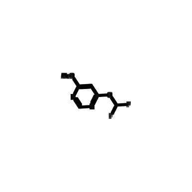 COc1cc(OC(F)F)ncn1